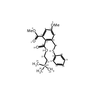 COC(=O)c1cc(OC)cc(CSc2ccccc2)c1C(=O)OCC[Si](C)(C)C